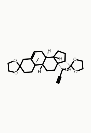 C#CC(O)[C@]12CC[C@H]3[C@@H](CC=C4CC5(CC[C@@]43C)OCCO5)[C@@H]1CC[C@@H]2C1(C)OCCO1